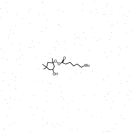 CC(C)(C)CCCCCC(=O)OOC1(C)CC(O)CC(C)(C)C1